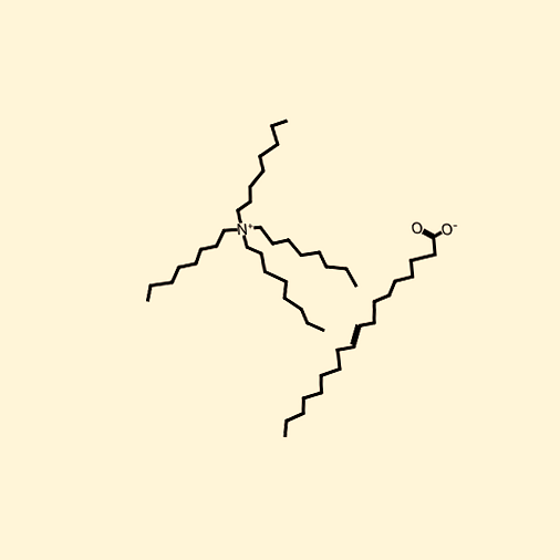 CCCCCCCCC=CCCCCCCCC(=O)[O-].CCCCCCCC[N+](CCCCCCCC)(CCCCCCCC)CCCCCCCC